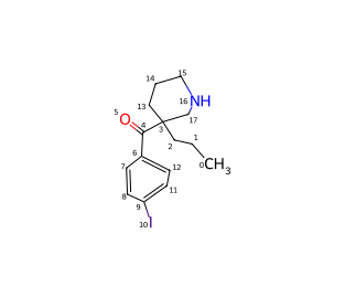 CCCC1(C(=O)c2ccc(I)cc2)CCCNC1